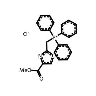 COC(=O)c1coc(C[P+](c2ccccc2)(c2ccccc2)c2ccccc2)n1.[Cl-]